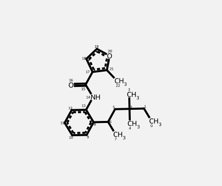 CCC(C)(C)CC(C)c1ccccc1NC(=O)c1ccoc1C